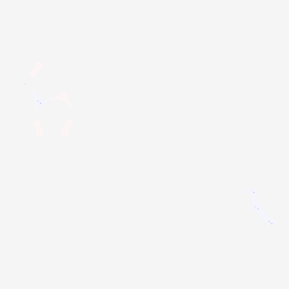 [N-]=[N+]=NCCCCCCCCCCC(=O)ON1C(=O)CCC1=O